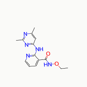 CCONC(=O)c1cccnc1Nc1cc(C)nc(C)n1